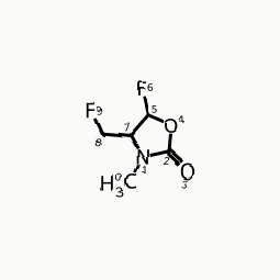 CN1C(=O)OC(F)C1CF